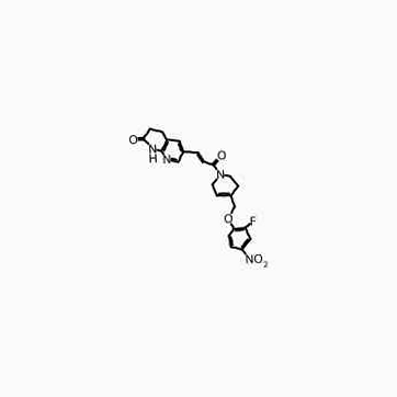 O=C1CCc2cc(C=CC(=O)N3CC=C(COc4ccc([N+](=O)[O-])cc4F)CC3)cnc2N1